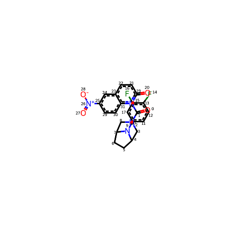 O=C(N1CC2CCC(C1)N2c1ccc(F)c(F)c1)n1c(=O)ccc2cc([N+](=O)[O-])ccc21